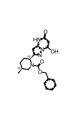 C[C@H]1CC[C@@H](c2cc3[nH]c(=O)cc(O)n3n2)N(C(=O)OCc2ccccc2)C1